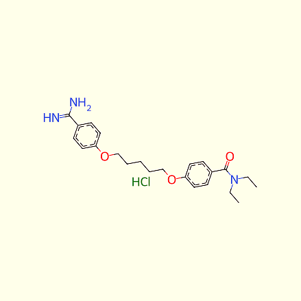 CCN(CC)C(=O)c1ccc(OCCCCCOc2ccc(C(=N)N)cc2)cc1.Cl